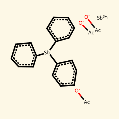 CC(=O)[O-].CC(=O)[O-].CC(=O)[O-].[Sb+3].c1cc[c]([Sb]([c]2ccccc2)[c]2ccccc2)cc1